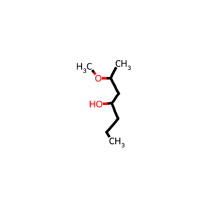 CCCC(O)CC(C)OC